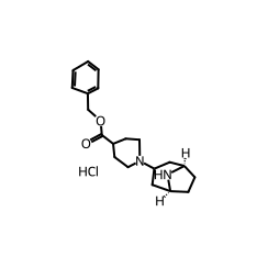 Cl.O=C(OCc1ccccc1)C1CCN(C2C[C@H]3CC[C@@H](C2)N3)CC1